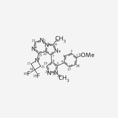 COc1ccc(-c2c(-c3nc(C)n4ncnc(N5CC(F)(F)C5)c34)cnn2C)cc1